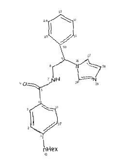 CCCCCCc1ccc(C(=O)NCC(c2ccccc2)n2ccnc2)cc1